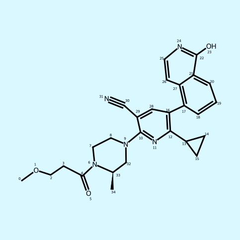 COCCC(=O)N1CCN(c2nc(C3CC3)c(-c3cccc4c(O)nccc34)cc2C#N)C[C@H]1C